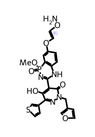 COP1(=O)N=C(c2c(O)c(-c3ccsc3)nn(Cc3ccoc3)c2=O)Nc2ccc(O/C=C/ON)cc21